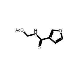 CC(=O)OCNC(=O)c1ccoc1